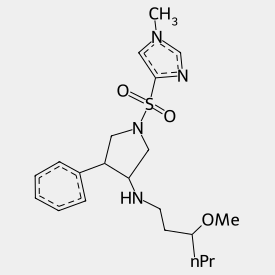 CCCC(CCNC1CN(S(=O)(=O)c2cn(C)cn2)CC1c1ccccc1)OC